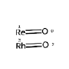 [O]=[Re].[O]=[Rh]